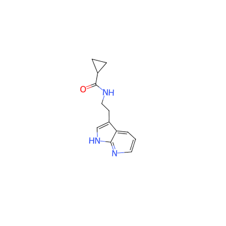 O=C(NCCc1c[nH]c2ncccc12)C1CC1